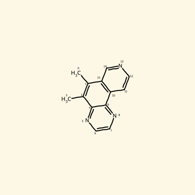 Cc1c(C)c2nccnc2c2ccncc12